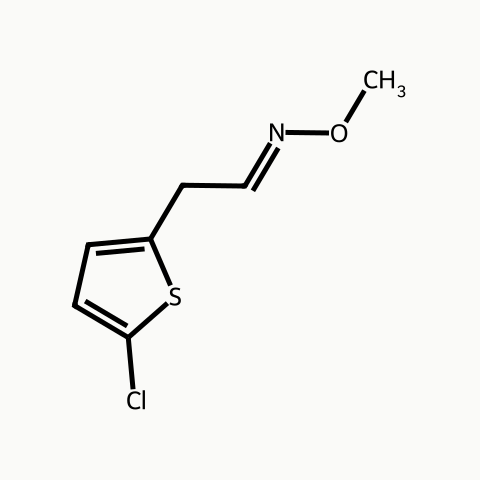 CON=CCc1ccc(Cl)s1